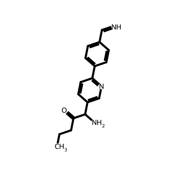 CCCC(=O)C(N)c1ccc(-c2ccc(C=N)cc2)nc1